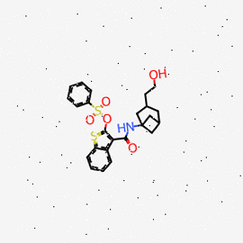 O=C(NC12CC(CCO)CC(C1)C2)c1c(OS(=O)(=O)c2ccccc2)sc2ccccc12